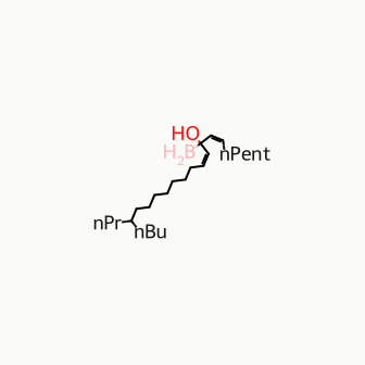 BC(O)(/C=C\CCCCC)/C=C\CCCCCCCC(CCC)CCCC